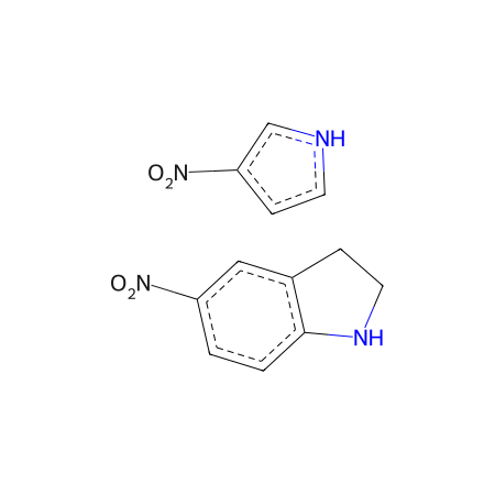 O=[N+]([O-])c1cc[nH]c1.O=[N+]([O-])c1ccc2c(c1)CCN2